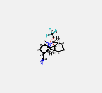 CN1C[C@H]2CCC[C@@H](C1)[C@@]2(OCC(F)(F)F)c1cccc(C#N)c1